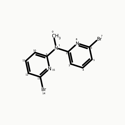 CN(c1cccc(Br)n1)c1cccc(Br)n1